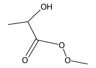 COOC(=O)C(C)O